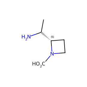 CC(N)[C@@H]1CCN1C(=O)O